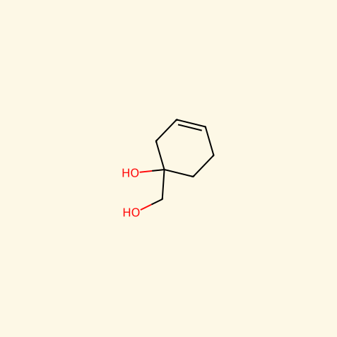 OCC1(O)CC=CCC1